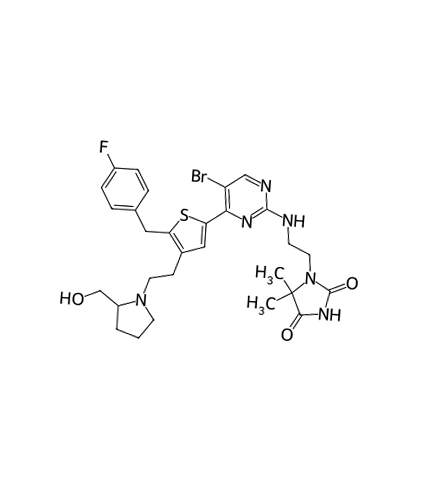 CC1(C)C(=O)NC(=O)N1CCNc1ncc(Br)c(-c2cc(CCN3CCCC3CO)c(Cc3ccc(F)cc3)s2)n1